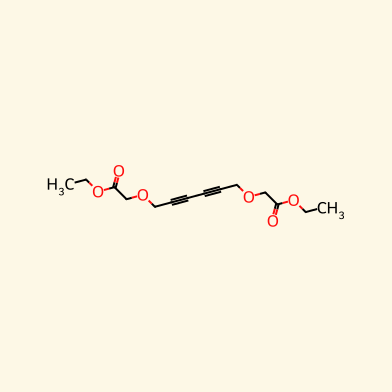 CCOC(=O)COCC#CC#CCOCC(=O)OCC